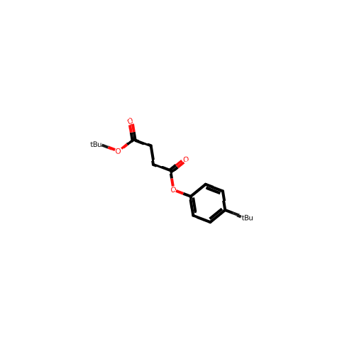 CC(C)(C)OC(=O)CCC(=O)Oc1ccc(C(C)(C)C)cc1